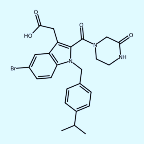 CC(C)c1ccc(Cn2c(C(=O)N3CCNC(=O)C3)c(CC(=O)O)c3cc(Br)ccc32)cc1